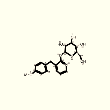 COc1ccc(Cc2cccnc2O[C@@H]2S[C@H](CO)[C@@H](O)[C@H](O)[C@H]2O)cc1